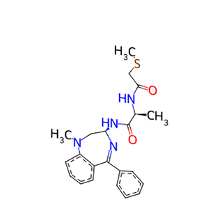 CSCC(=O)N[C@@H](C)C(=O)N[C@@H]1CN(C)c2ccccc2C(c2ccccc2)=N1